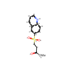 COC(=O)CCS(=O)(=O)c1ccc2ncccc2c1